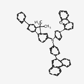 CC1(C)c2cc(-c3ccccc3)ccc2-c2ccc(N(c3ccc(-c4cc5ccccc5c5ccccc45)cc3)c3ccc(-c4cccc5c4oc4ccccc45)cc3)cc21